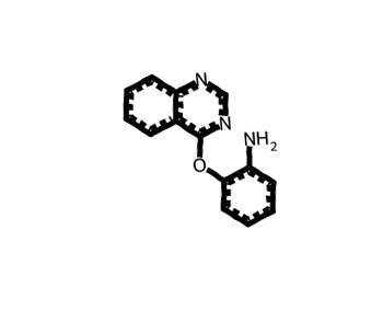 Nc1ccccc1Oc1ncnc2ccccc12